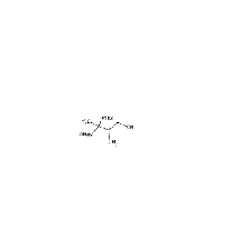 CCCCCCC(C)(CCCCCC)C(C)CC#N